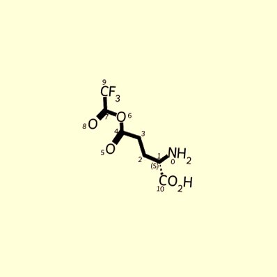 N[C@@H](CCC(=O)OC(=O)C(F)(F)F)C(=O)O